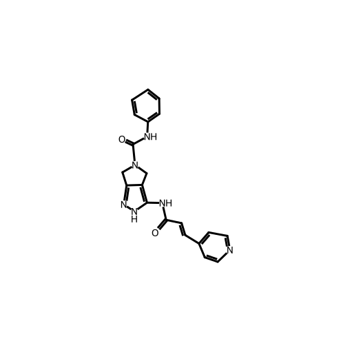 O=C(/C=C/c1ccncc1)Nc1[nH]nc2c1CN(C(=O)Nc1ccccc1)C2